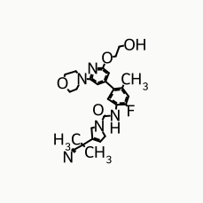 Cc1cc(F)c(NC(=O)N2CC=C(C(C)(C)C#N)C2)cc1-c1cc(OCCO)nc(N2CCOCC2)c1